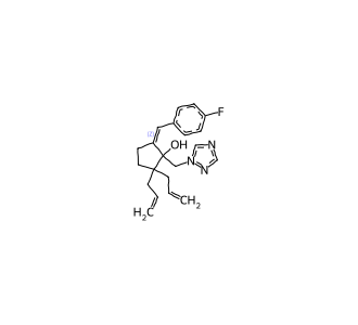 C=CCC1(CC=C)CC/C(=C/c2ccc(F)cc2)C1(O)Cn1cncn1